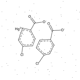 O=C([O-])c1ccc(Cl)cc1.O=C([O-])c1ccc(Cl)cc1.[Hg+2]